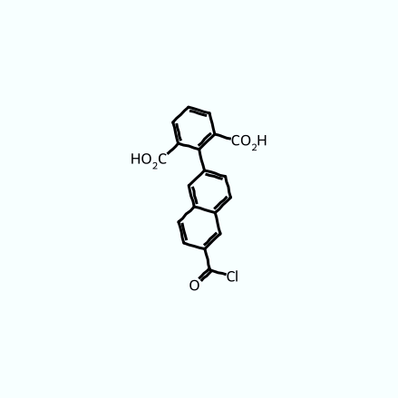 O=C(Cl)c1ccc2cc(-c3c(C(=O)O)cccc3C(=O)O)ccc2c1